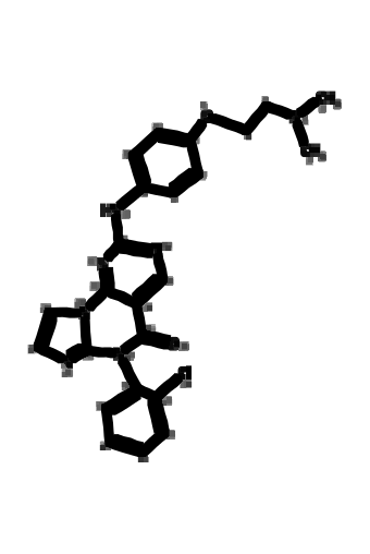 CN(C)CCOc1ccc(Nc2ncc3c(=O)n(-c4ccccc4Cl)c4nccn4c3n2)cc1